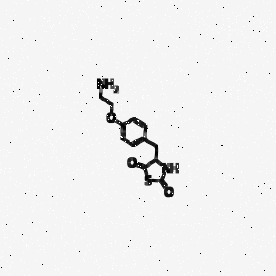 NCCOc1ccc(CC2NC(=O)SC2=O)cc1